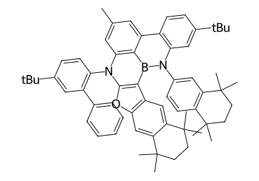 Cc1cc2c3c(c1)N(c1ccc(C(C)(C)C)cc1-c1ccccc1)c1oc4cc5c(cc4c1B3N(c1ccc3c(c1)C(C)(C)CCC3(C)C)c1cc(C(C)(C)C)ccc1-2)C(C)(C)CCC5(C)C